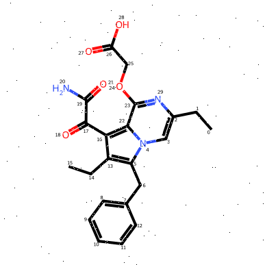 CCc1cn2c(Cc3ccccc3)c(CC)c(C(=O)C(N)=O)c2c(OCC(=O)O)n1